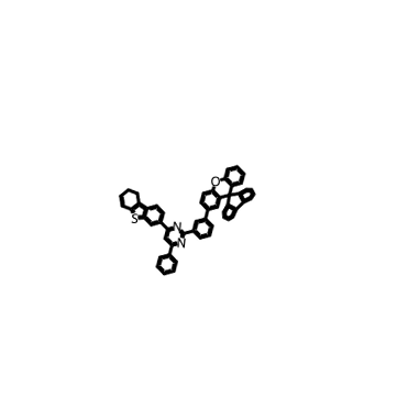 C1=Cc2sc3cc(-c4cc(-c5ccccc5)nc(-c5cccc(-c6ccc7c(c6)C6(c8ccccc8O7)c7ccccc7-c7ccccc76)c5)n4)ccc3c2CC1